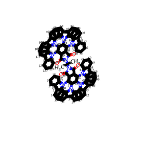 CC(C)(N1C(=O)c2c(c(-n3c4ccccc4c4ccccc43)c(-n3c4ccccc4c4ccccc43)c(-n3c4ccccc4c4ccccc43)c2-n2c3ccccc3c3ccccc32)C1=O)N1C(=O)c2c(c(-n3c4ccccc4c4ccccc43)c(-n3c4ccccc4c4ccccc43)c(-n3c4ccccc4c4ccccc43)c2-n2c3ccccc3c3ccccc32)C1=O